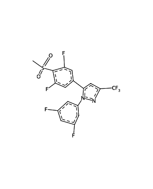 CS(=O)(=O)c1c(F)cc(-c2cc(C(F)(F)F)nn2-c2cc(F)cc(F)c2)cc1F